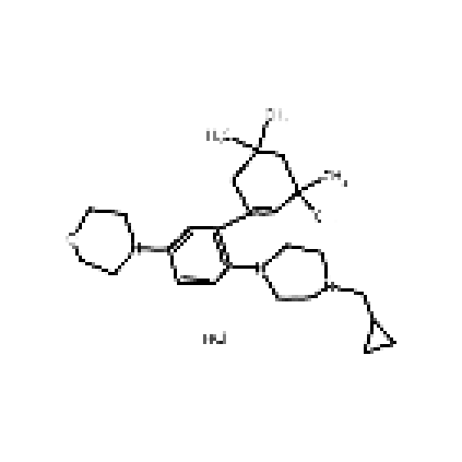 CC1(C)C=C(c2cc(N3CCOCC3)ccc2N2CCN(CC3CC3)CC2)CC(C)(C)C1.Cl